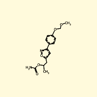 COCOc1ccc(-c2cc(CC(C)OC(N)=O)on2)cc1